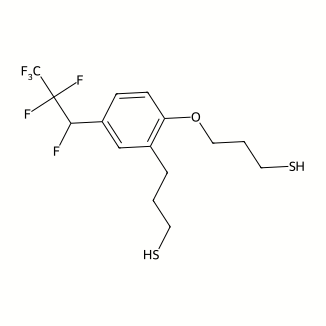 FC(c1ccc(OCCCS)c(CCCS)c1)C(F)(F)C(F)(F)F